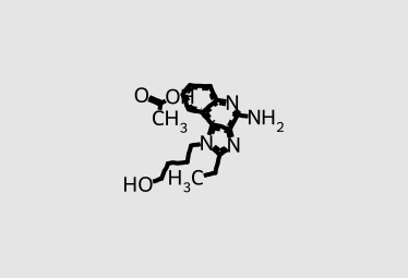 CC(=O)O.CCc1nc2c(N)nc3ccccc3c2n1CCCCO